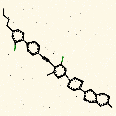 CCCCc1ccc(-c2ccc(C#Cc3c(C)cc(-c4ccc(-c5ccc6cc(C)ccc6c5)cc4)cc3F)cc2)c(F)c1